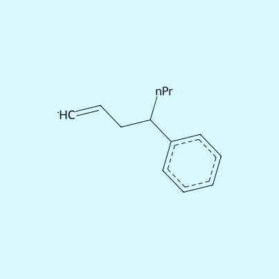 [CH]=CCC(CCC)c1ccccc1